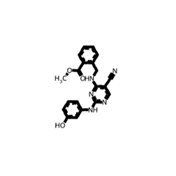 COC(=O)c1ccccc1CNc1nc(Nc2cccc(O)c2)ncc1C#N